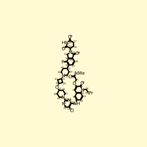 CNC(=O)COc1cc2cc(Nc3nc(N4CCC(O[C@H]5C[C@H](N6CCC(c7ccc8c(c7F)CN(C7CCC(=O)NC7=O)C8=O)CC6)C5)CC4)ncc3Cl)ccc2n(CC(C)C)c1=O